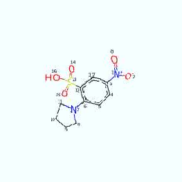 O=[N+]([O-])c1ccc(N2CCCC2)c(S(=O)(=O)O)c1